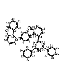 C1=CC(c2ccc3c(c2)oc2nccc(-c4nc(-c5ccccc5)nc(-c5ccccc5)n4)c23)C2C(=C1)Sc1ccccc12